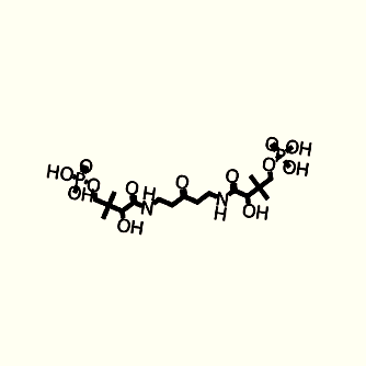 CC(C)(COP(=O)(O)O)C(O)C(=O)NCCC(=O)CCNC(=O)C(O)C(C)(C)COP(=O)(O)O